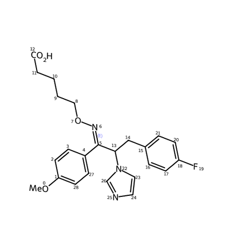 COc1ccc(/C(=N\OCCCCC(=O)O)C(Cc2ccc(F)cc2)n2ccnc2)cc1